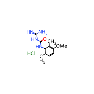 COc1ccc(C)c(NC(=O)NC(=N)N)c1C.Cl